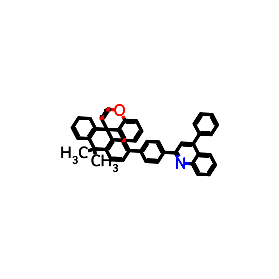 CC1(C)C2=C(CCC=C2)C2(c3ccccc3Oc3ccccc32)c2cc(-c3ccc(-c4cc(-c5ccccc5)c5ccccc5n4)cc3)ccc21